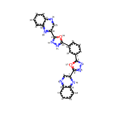 c1cc(-c2nnc(-c3cnc4ccccc4n3)o2)cc(-c2nnc(-c3cnc4ccccc4n3)o2)c1